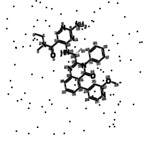 CCN(C)C(=O)c1cnc(N)nc1N[C@H](C)c1nc2cccc(-c3ccnc(OC)c3)c2c(=O)n1-c1ccccc1